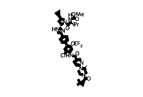 COC(=O)N[C@H](C(=O)N1CC(C2CC2)=C[C@H]1c1nc(-c2ccc(-c3cc(Cl)c(NC(=O)c4ccc(N5CCN(C(=O)C6CC6(C)C)C[C@H]5C)nc4)cc3OC(F)(F)F)cc2)c[nH]1)C(C)C